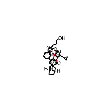 O=C(NS(=O)(=O)CCCO)c1ccc(N2[C@@H]3CC[C@H]2C[C@H](OC(=O)c2c(-c4c(Cl)cccc4Cl)noc2C2CC2)C3)cc1